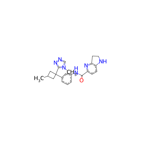 CC1CC(c2cccc(NC(=O)c3ccc4c(n3)CCN4)c2)(c2nncn2C)C1